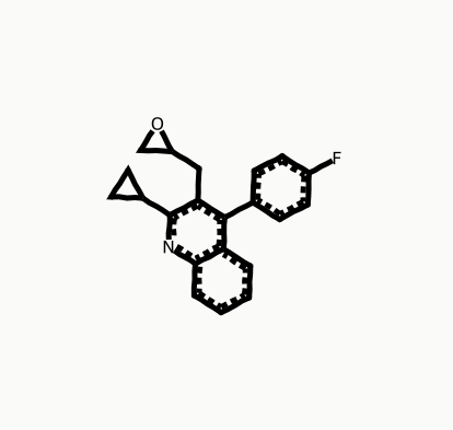 Fc1ccc(-c2c(CC3CO3)c(C3CC3)nc3ccccc23)cc1